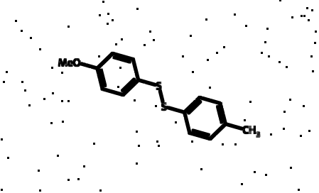 COc1ccc(SSc2ccc(C)cc2)cc1